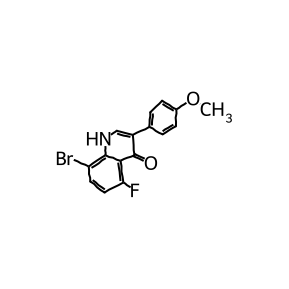 COc1ccc(-c2c[nH]c3c(Br)ccc(F)c3c2=O)cc1